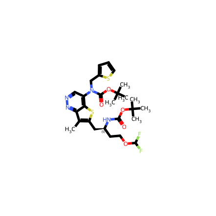 Cc1c(C[C@H](CCOC(F)F)NC(=O)OC(C)(C)C)sc2c(N(Cc3cccs3)C(=O)OC(C)(C)C)cnnc12